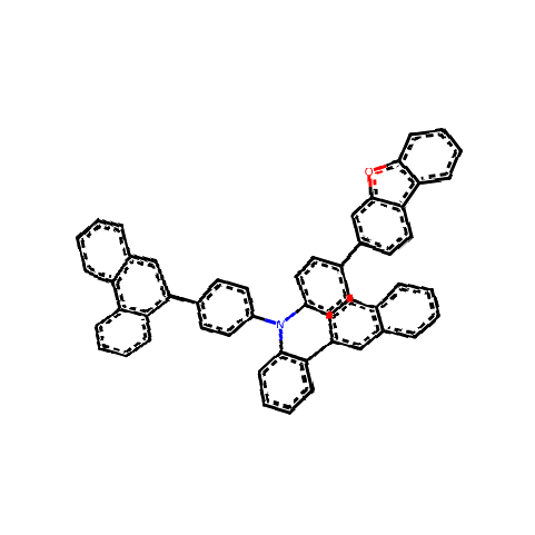 c1ccc(N(c2ccc(-c3ccc4c(c3)oc3ccccc34)cc2)c2ccc(-c3cc4ccccc4c4ccccc34)cc2)c(-c2ccc3ccccc3c2)c1